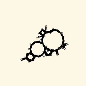 O=C1NS(=O)(=O)CCOC/C=C/[C@@H]2CC[C@H]2CN2CCCCc3cc(Cl)ccc3COc3ccc1cc32